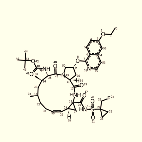 CCOc1ccc2c(O[C@@H]3C[C@H]4C(=O)N[C@]5(C(=O)NS(=O)(=O)C6(CF)CC6)C[C@H]5/C=C\CC[C@@H](C)C[C@@H](C)[C@H](NC(=O)OC(C)(C)C)C(=O)N4C3)nccc2c1